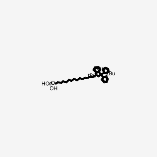 CC(C)(C)c1ccccc1C(CCCCCCCCCCCCCCCCCOP(O)O)(c1ccccc1C(C)(C)C)c1ccccc1C(C)(C)C